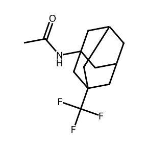 CC(=O)NC12CC3CC(C1)CC(C(F)(F)F)(C3)C2